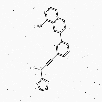 C[C@H](C#Cc1cccc(-c2ccc3ccnc(N)c3n2)c1)c1nccs1